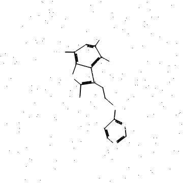 COc1cc(F)c(F)c2c(CCNc3ccncn3)c(C)oc12